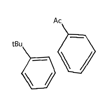 CC(=O)c1ccccc1.CC(C)(C)c1ccccc1